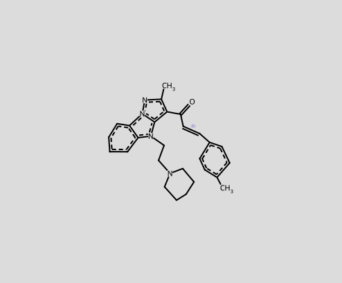 Cc1ccc(/C=C/C(=O)c2c(C)nn3c4ccccc4n(CCN4CCCCC4)c23)cc1